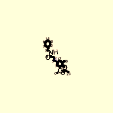 COc1cc(/C=C/C(=O)NCc2ccccc2)cc(C)c1OC(C)=O